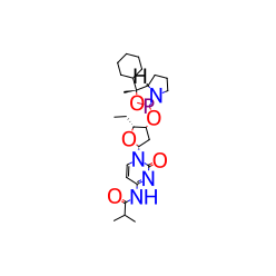 CC[C@H]1O[C@@H](n2ccc(NC(=O)C(C)C)nc2=O)CC1OP1O[C@](C)(C2CCCCC2)[C@@H]2CCCN21